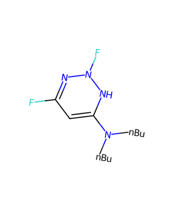 CCCCN(CCCC)C1=CC(F)=NN(F)N1